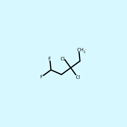 [CH2]CC(Cl)(Cl)CC(F)F